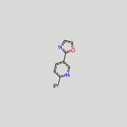 CC(C)c1ccc(-c2ncco2)cn1